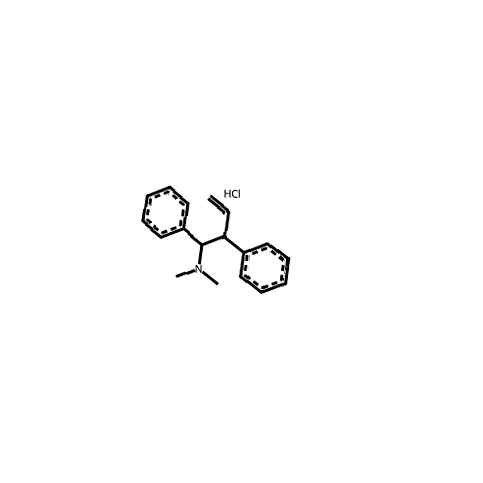 C=CC(c1ccccc1)C(c1ccccc1)N(C)C.Cl